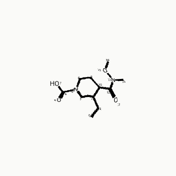 CCC1CN(C(=O)O)CCC1C(=O)N(C)OC